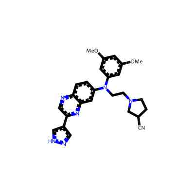 COc1cc(OC)cc(N(CCN2CCC(C#N)C2)c2ccc3ncc(-c4cn[nH]c4)nc3c2)c1